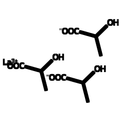 CC(O)C(=O)[O-].CC(O)C(=O)[O-].CC(O)C(=O)[O-].[La+3]